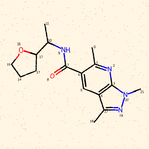 Cc1nc2c(cc1C(=O)NC(C)C1CCCO1)c(C)nn2C